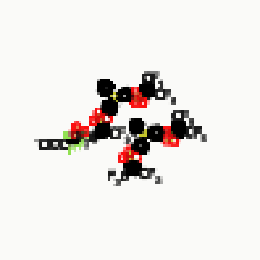 O=C([O-])C(F)(F)C(F)(F)C(F)(F)S(=O)(=O)[O-].O=S(=O)(Oc1ccc([S+](c2ccccc2)c2ccc(OS(=O)(=O)c3cc(C(F)(F)F)cc(C(F)(F)F)c3)cc2)cc1)c1cc(C(F)(F)F)cc(C(F)(F)F)c1.O=S(=O)(Oc1ccc([S+](c2ccccc2)c2ccc(OS(=O)(=O)c3cc(C(F)(F)F)cc(C(F)(F)F)c3)cc2)cc1)c1cc(C(F)(F)F)cc(C(F)(F)F)c1